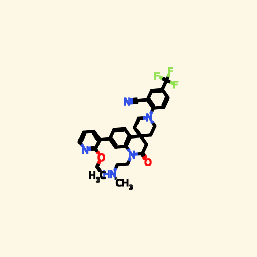 CCOc1ncccc1-c1ccc2c(c1)N(CCNC)C(=O)CC21CCN(c2ccc(C(F)(F)F)cc2C#N)CC1